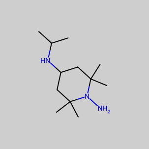 CC(C)NC1CC(C)(C)N(N)C(C)(C)C1